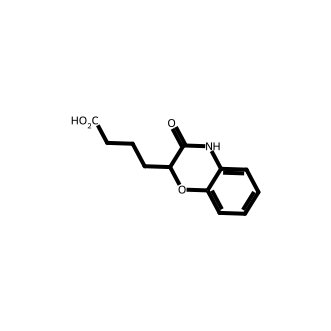 O=C(O)CCCC1Oc2ccccc2NC1=O